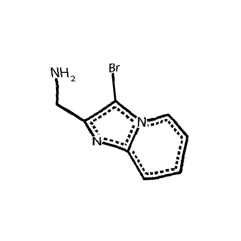 NCc1nc2ccccn2c1Br